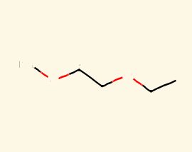 CCOCC[O][SnH]